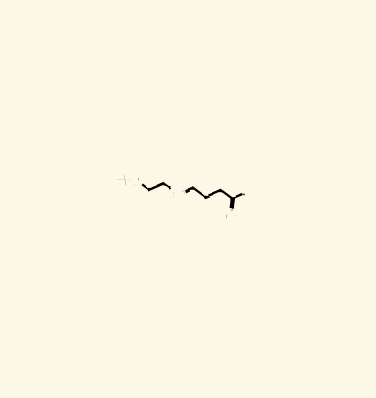 CCC(=O)CCCOCCO